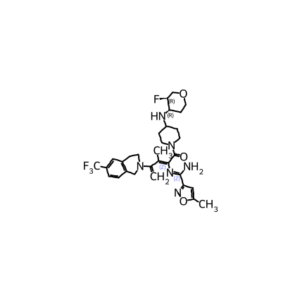 C=C(/C(C)=C(\N=C(/N)c1cc(C)on1)C(=O)N1CCC(N[C@@H]2CCOC[C@@H]2F)CC1)N1CCc2cc(C(F)(F)F)ccc2C1